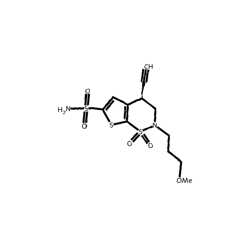 C#C[C@H]1CN(CCCOC)S(=O)(=O)c2sc(S(N)(=O)=O)cc21